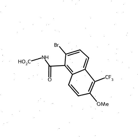 COc1ccc2c(C(=O)NC(=O)O)c(Br)ccc2c1C(F)(F)F